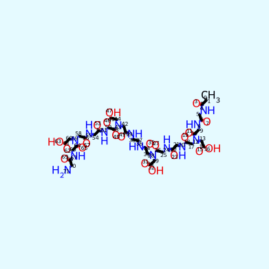 CCC(=O)NCC(=O)NCC(=O)N(CC(=O)O)CC(=O)NCC(=O)NCC(=O)N(CC(=O)O)CC(=O)NCCNC(=O)CN(CC(=O)O)C(=O)CNC(=O)CNC(=O)CN(CC(=O)O)C(=O)CNC(=O)CN